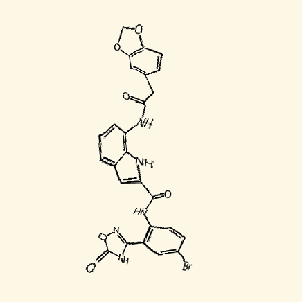 O=C(Cc1ccc2c(c1)OCO2)Nc1cccc2cc(C(=O)Nc3ccc(Br)cc3-c3noc(=O)[nH]3)[nH]c12